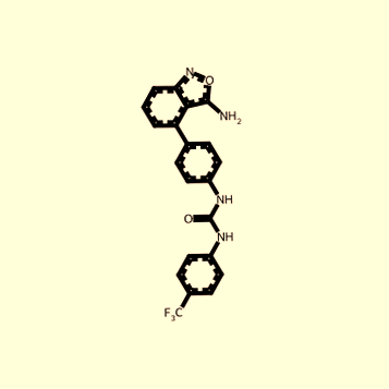 Nc1onc2cccc(-c3ccc(NC(=O)Nc4ccc(C(F)(F)F)cc4)cc3)c12